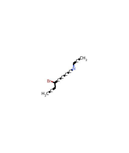 C=C=CN=C=C=C=C=C(Br)C=C=C